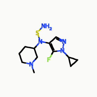 CN1CCCC(N(SN)c2cnn(C3CC3)c2F)C1